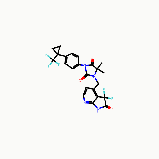 CC1(C)C(=O)N(c2ccc(C3(C(F)(F)F)CC3)cc2)C(=O)N1Cc1ccnc2c1C(F)(F)C(=O)N2